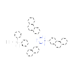 CC1(C)c2ccccc2-c2ccc(-c3cccc4ccc(-c5nc(-c6ccc7c(ccc8ccccc87)c6)nc(-c6ccc7c(ccc8ccccc87)c6)n5)cc34)cc21